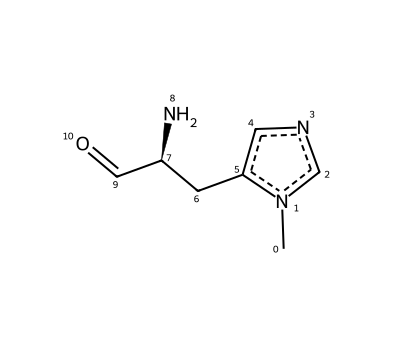 Cn1cncc1C[C@H](N)C=O